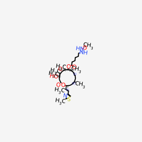 CONNCCCCCC(=O)O[C@H]1[C@@H](C)/C=C\C/C(C)=C\C[C@@H](/C(C)=C/c2csc(C)n2)OC(=O)C[C@H](O)C(C)(C)C(=O)[C@@H]1C